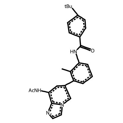 CC(=O)Nc1cc(-c2cccc(NC(=O)c3ccc(C(C)(C)C)cc3)c2C)cn2ccnc12